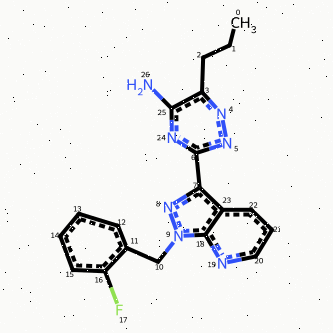 CCCc1nnc(-c2nn(Cc3ccccc3F)c3ncccc23)nc1N